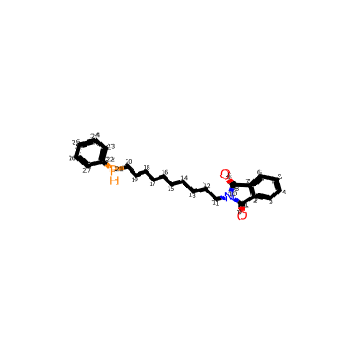 O=C1c2ccccc2C(=O)N1CCCCCCCCCCPc1ccccc1